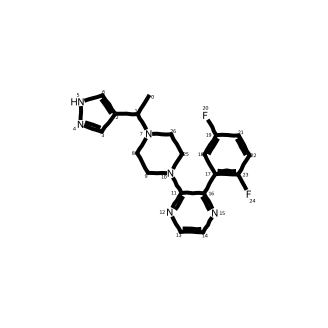 CC(c1cn[nH]c1)N1CCN(c2nccnc2-c2cc(F)ccc2F)CC1